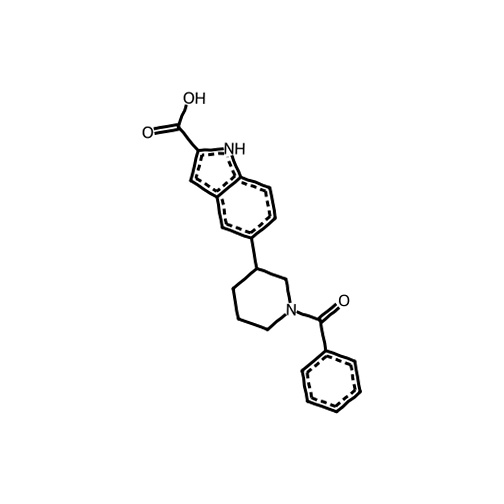 O=C(O)c1cc2cc(C3CCCN(C(=O)c4ccccc4)C3)ccc2[nH]1